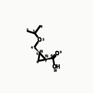 CC(C)OC[C@H]1C[C@@H]1C(=O)O